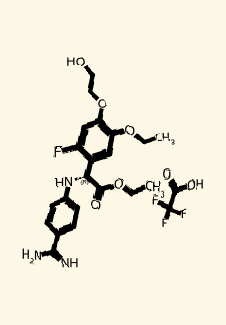 CCOC(=O)[C@H](Nc1ccc(C(=N)N)cc1)c1cc(OCC)c(OCCO)cc1F.O=C(O)C(F)(F)F